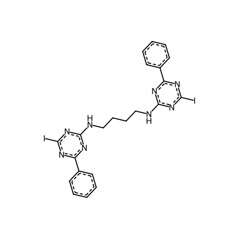 Ic1nc(NCCCCNc2nc(I)nc(-c3ccccc3)n2)nc(-c2ccccc2)n1